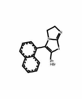 Br.CC(C)C1=C(c2cccc3ccccc23)N2CCN=C2S1